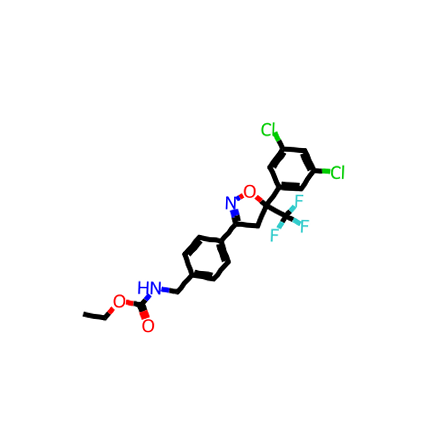 CCOC(=O)NCc1ccc(C2=NOC(c3cc(Cl)cc(Cl)c3)(C(F)(F)F)C2)cc1